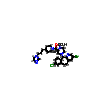 CC(C)(C)[C@]1(C(=O)N2CCC(CCCn3ccnc3)CC2)CN(C2c3ccc(Cl)cc3CCc3cc(Br)cnc32)CCN1C(=O)O